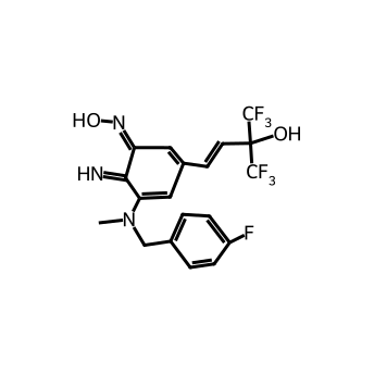 CN(Cc1ccc(F)cc1)C1=CC(/C=C/C(O)(C(F)(F)F)C(F)(F)F)=CC(=N/O)/C1=N